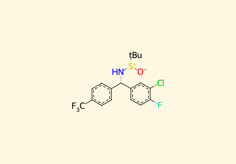 CC(C)(C)[S@+]([O-])N[C@@H](c1ccc(C(F)(F)F)cc1)c1ccc(F)c(Cl)c1